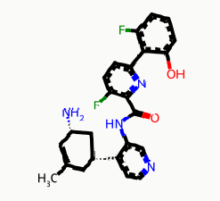 CC1=C[C@H](N)C[C@H](c2ccncc2NC(=O)c2nc(-c3c(O)cccc3F)ccc2F)C1